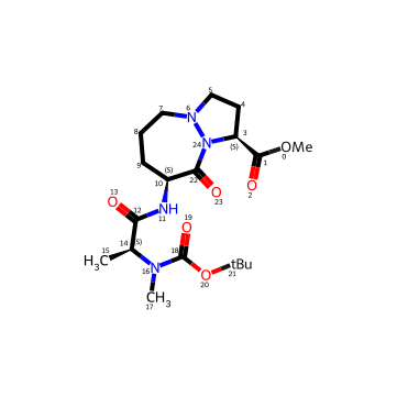 COC(=O)[C@@H]1CCN2CCC[C@H](NC(=O)[C@H](C)N(C)C(=O)OC(C)(C)C)C(=O)N12